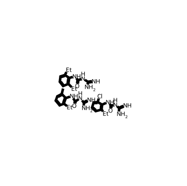 CCc1cccc(C)c1NC(=O)NC(=N)N.CCc1cccc(CC)c1NC(=O)NC(=N)N.CCc1cccc(Cl)c1NC(=O)NC(=N)N